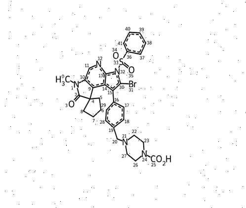 CN1C(=O)C2(CCCC2)c2c1cnc1c2c(-c2ccc(CN3CCN(C(=O)O)CC3)cc2)c(Br)n1S(=O)(=O)c1ccccc1